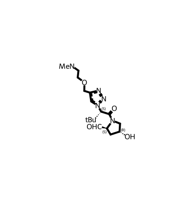 CNCCOCc1cn([C@H](C(=O)N2C[C@H](O)C[C@H]2C=O)C(C)(C)C)nn1